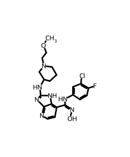 COCCN1CCCC(Nc2nc3nccc(/C(=N\O)Nc4ccc(F)c(Cl)c4)c3[nH]2)C1